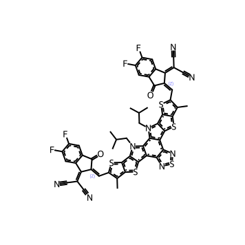 Cc1c(/C=C2\C(=O)c3cc(F)c(F)cc3C2=C(C#N)C#N)sc2c1sc1c3c4nsnc4c4c5sc6c(C)c(/C=C7\C(=O)c8cc(F)c(F)cc8C7=C(C#N)C#N)sc6c5n(CC(C)C)c4c3n(CC(C)C)c21